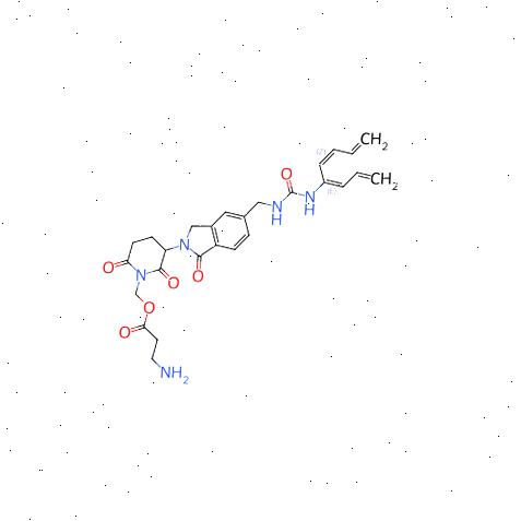 C=C/C=C\C(=C/C=C)NC(=O)NCc1ccc2c(c1)CN(C1CCC(=O)N(COC(=O)CCN)C1=O)C2=O